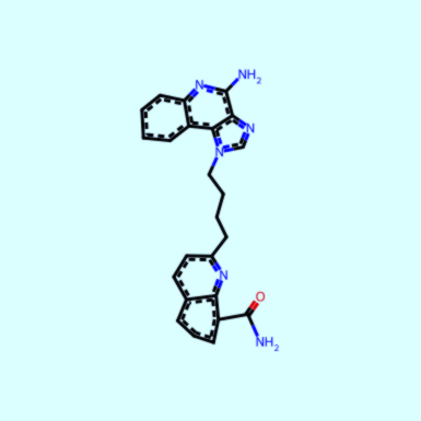 NC(=O)c1cccc2ccc(CCCCn3cnc4c(N)nc5ccccc5c43)nc12